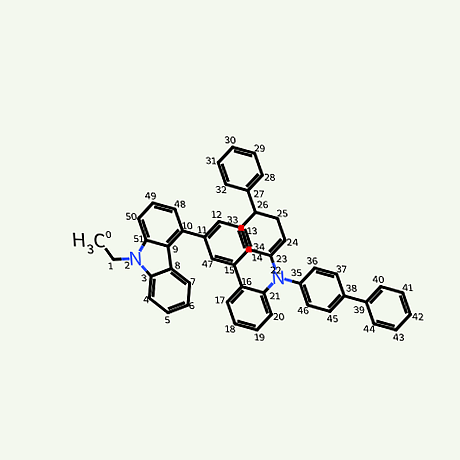 CCn1c2ccccc2c2c(-c3cccc(-c4ccccc4N(C4=CCC(c5ccccc5)C=C4)c4ccc(-c5ccccc5)cc4)c3)cccc21